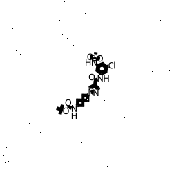 CC(C)(C)OC(=O)NC1CC2(C1)CC(n1cc(C(=O)Nc3cc(Cl)cc(NS(C)(=O)=O)c3)cn1)C2